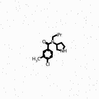 Cc1cc(C(=O)N(CC(C)C)C2CCNC2)ccc1Cl